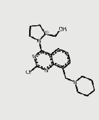 OC[C@@H]1CCCN1c1nc(Cl)nc2c(CN3CCCCC3)cccc12